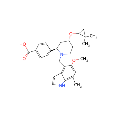 COc1cc(C)c2[nH]ccc2c1CN1CC[C@@H](OC2CC2(C)C)C[C@@H]1c1ccc(C(=O)O)cc1